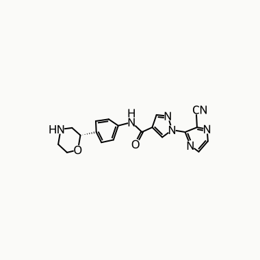 N#Cc1nccnc1-n1cc(C(=O)Nc2ccc([C@H]3CNCCO3)cc2)cn1